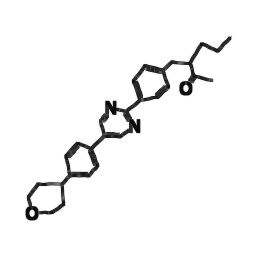 CCCC(Cc1ccc(-c2ncc(-c3ccc(C4CCOCC4)cc3)cn2)cc1)C(C)=O